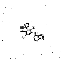 CC1=C2C(=O)NC3(CCC3)N2C(O)C(Nc2ncnc3[nH]ncc23)=C1